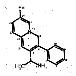 CC(N)C1=C(c2ccccc2)CN2C=C(F)C=CC2=C1